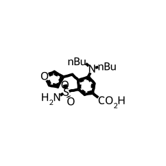 CCCCN(CCCC)c1cc(C(=O)O)cc(S(N)(=O)=O)c1Cc1ccoc1